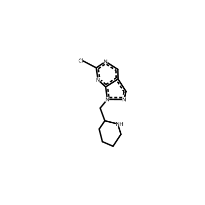 Clc1ncc2cnn(CC3CCCCN3)c2n1